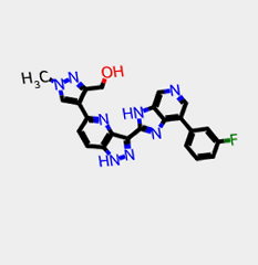 Cn1cc(-c2ccc3[nH]nc(-c4nc5c(-c6cccc(F)c6)cncc5[nH]4)c3n2)c(CO)n1